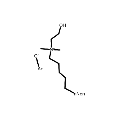 CC(=O)[O-].CCCCCCCCCCCCCC[N+](C)(C)CCO